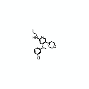 CCCNc1ncc(N2CCOCC2)c(N(C)c2cccc(Cl)c2)n1